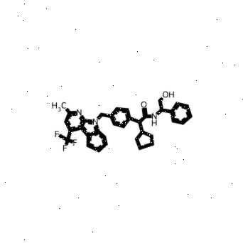 Cc1cc(C(F)(F)F)c2c3ccccc3n(Cc3ccc(C(C(=O)NC(CO)c4ccccc4)C4CCCC4)cc3)c2n1